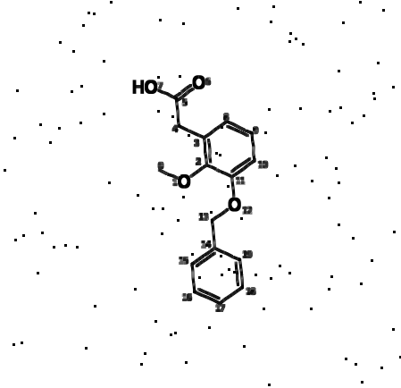 COc1c(CC(=O)O)cccc1OCc1ccccc1